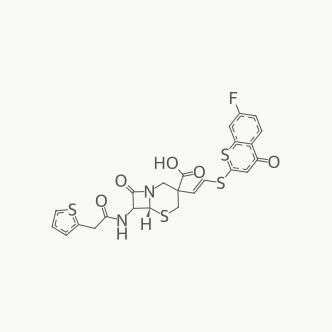 O=C(Cc1cccs1)NC1C(=O)N2CC(C=CSc3cc(=O)c4ccc(F)cc4s3)(C(=O)O)CS[C@H]12